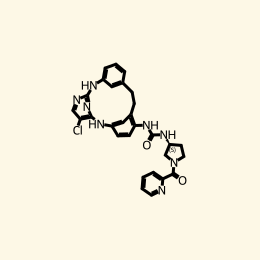 O=C(Nc1ccc2cc1CCc1cccc(c1)Nc1ncc(Cl)c(n1)N2)N[C@H]1CCN(C(=O)c2ccccn2)C1